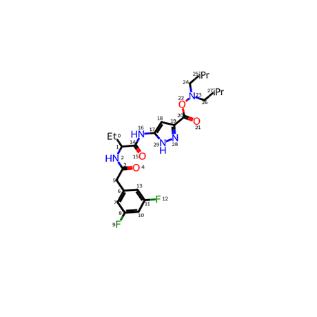 CCC(NC(=O)Cc1cc(F)cc(F)c1)C(=O)Nc1cc(C(=O)ON(CC(C)C)CC(C)C)n[nH]1